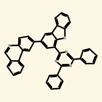 c1ccc(-c2nc(-c3ccccc3)nc(-c3cc(-c4ccc5ncc6ccccc6c5c4)cc4c3sc3ccccc34)n2)cc1